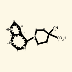 N#CC1(C(=O)O)CCN(c2ncnc3[nH]ccc23)CC1